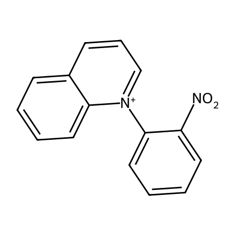 O=[N+]([O-])c1ccccc1-[n+]1cccc2ccccc21